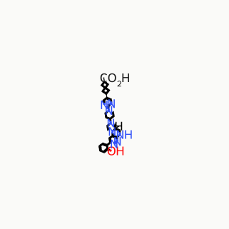 O=C(O)[C@H]1CC2(C1)C[C@H](c1cnc(N3CCC(N4CCN5c6cc(-c7ccccc7O)nnc6NC[C@H]5C4)CC3)nc1)C2